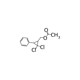 CC(=O)OCC1C(c2ccccc2)C1(Cl)Cl